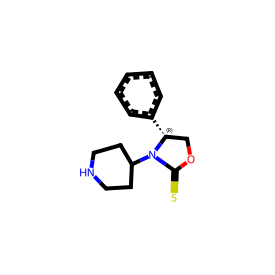 S=C1OC[C@@H](c2ccccc2)N1C1CCNCC1